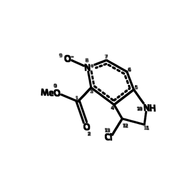 COC(=O)c1c2c(cc[n+]1[O-])NCC2Cl